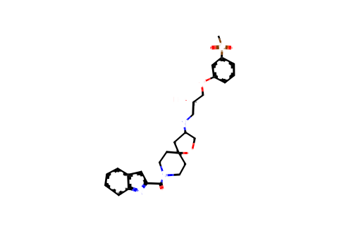 CS(=O)(=O)c1cccc(OC[C@@H](O)CNC2COC3(CCN(C(=O)c4cc5ccccc5[nH]4)CC3)C2)c1